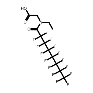 CCN(CC(=O)O)C(=O)C(F)(F)C(F)(F)C(F)(F)C(F)(F)C(F)(F)C(F)(F)C(F)(F)F